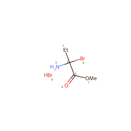 Br.CCC(N)(Br)C(=O)OC